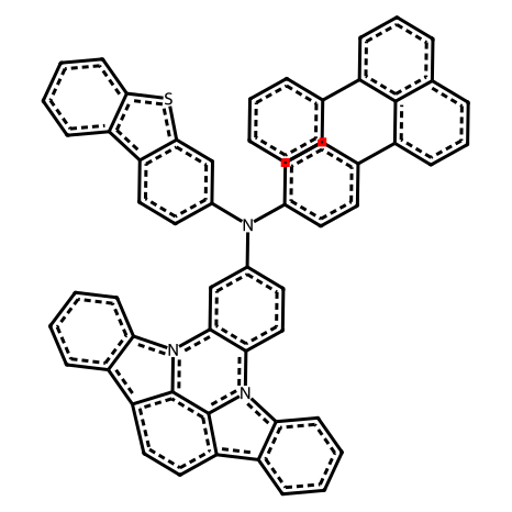 c1ccc(-c2cccc3cccc(-c4ccc(N(c5ccc6c(c5)sc5ccccc56)c5ccc6c(c5)n5c7ccccc7c7ccc8c9ccccc9n6c8c75)cc4)c23)cc1